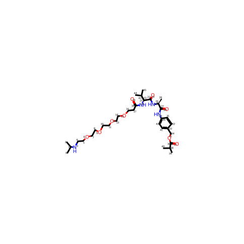 CC(C)NCCOCCOCCOCCOCCC(=O)N[C@H](C(=O)N[C@@H](C)C(=O)Nc1ccc(COC(=O)C(C)C)cc1)C(C)C